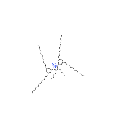 CCCCCCCCCC=Cc1cc(C=CCCCCCCCCC)cc(C2=C(CCCC)C(CCCC)=C(c3cc(C=CCCCCCCCCC)cc(C=CCCCCCCCCC)c3)[N+]2=[N-])c1